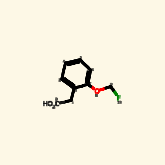 O=C(O)Cc1ccccc1OCF